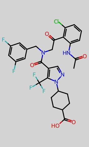 CC(=O)Nc1cccc(Cl)c1C(=O)CN(Cc1cc(F)cc(F)c1)C(=O)c1cnn(C2CCC(C(=O)O)CC2)c1C(F)(F)F